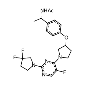 CC(=O)N[C@@H](C)c1ccc(O[C@@H]2CCN(c3nc(N4CCC(F)(F)C4)ncc3F)C2)cc1